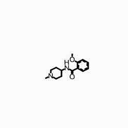 COc1ccccc1C(=O)NC1CCN(C)CC1